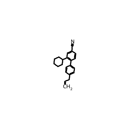 C=CCc1ccc(-c2ccc(C#N)cc2C2CCCCC2)cc1